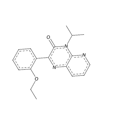 CCOc1ccccc1-c1nc2cccnc2n(C(C)C)c1=O